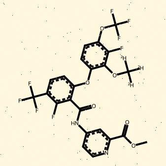 [2H]C([2H])([2H])Oc1c(Oc2ccc(C(F)(F)F)c(F)c2C(=O)Nc2ccnc(C(=O)OC)c2)ccc(OC(F)(F)F)c1F